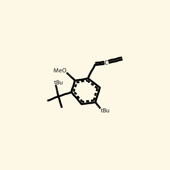 C=C=Cc1cc(C(C)(C)C)cc(C(C)(C)C(C)(C)C)c1OC